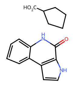 O=C(O)C1CCCC1.O=c1[nH]c2ccccc2c2cc[nH]c12